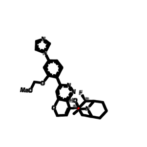 COCOc1cc(-n2ccnc2)ccc1-c1cc2c(nn1)C([C@@H]1CC3CCCC([C@@H]1F)N3B(C)O)=CCO2